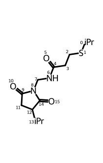 CC(C)SCCC(=O)NCN1C(=O)CC(C(C)C)C1=O